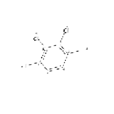 Clc1c(I)ccc(I)c1Cl